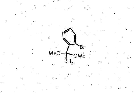 BC(OC)(OC)c1ccccc1Br